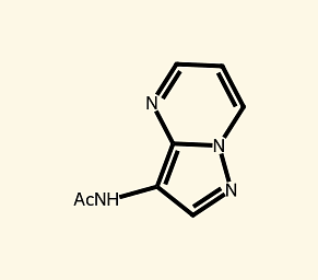 CC(=O)Nc1cnn2cccnc12